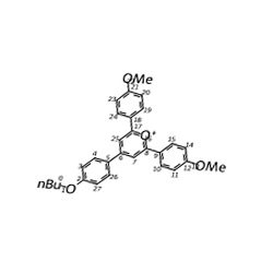 CCCCOc1ccc(-c2cc(-c3ccc(OC)cc3)[o+]c(-c3ccc(OC)cc3)c2)cc1